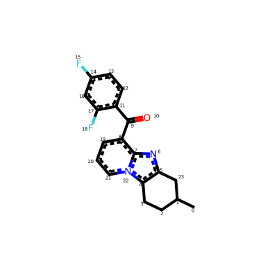 CC1CCc2c(nc3c(C(=O)c4ccc(F)cc4F)cccn23)C1